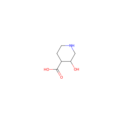 O=C(O)C1CCNCC1O